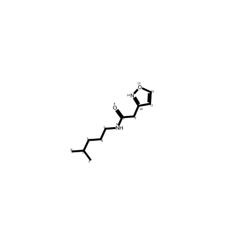 CC(C)CCCNC(=O)Cc1ccon1